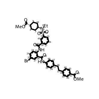 CCN([C@H]1CC[C@H](C(=O)OC)CC1)S(=O)(=O)c1cccc(C(=O)Nc2ccc(Br)cc2C(=O)Nc2ccc(CCc3ccc(C(=O)OC)cc3)cc2)c1